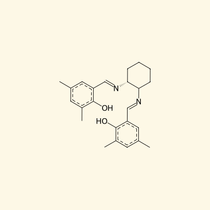 Cc1cc(C)c(O)c(/C=N/C2CCCC[C@H]2/N=C/c2cc(C)cc(C)c2O)c1